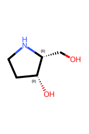 OC[C@H]1NCC[C@H]1O